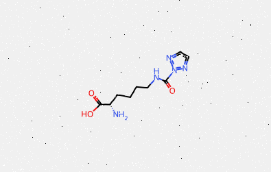 N[C@@H](CCCCNC(=O)n1nccn1)C(=O)O